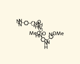 [2H]C([2H])(C(=O)N1CC=C(c2ccc(-c3ncn(C)n3)cc2)CC1)N1CC[C@@](OC)(C(=O)Nc2ccc3[nH]nc(-c4ccc(OC)nc4)c3c2)C1